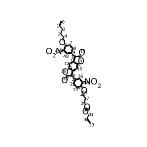 C=CCCCOc1ccc(C2=c3cc4c(cc3OC2=O)=C(c2ccc(OCCCOOCC=C)c([N+](=O)[O-])c2)C(=O)O4)cc1[N+](=O)[O-]